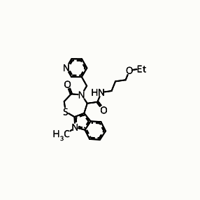 CCOCCCNC(=O)C1c2c(n(C)c3ccccc23)SCC(=O)N1Cc1cccnc1